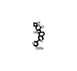 COc1cncc(-c2cc3c(cn2)CCc2c-3[nH]c3c2C(=O)NC2(CCC2)C3)c1